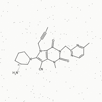 CC#CCn1c(N2CCC[C@@H](N)C2)c(C#N)c2c1c(=O)n(Cc1nccc(C)n1)c(=O)n2C